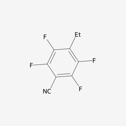 CCc1c(F)c(F)c(C#N)c(F)c1F